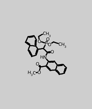 CCOP(=O)(OCC)C(C(=O)Nc1cc2ccccc2cc1C(=O)OC)c1cccc2ccccc12